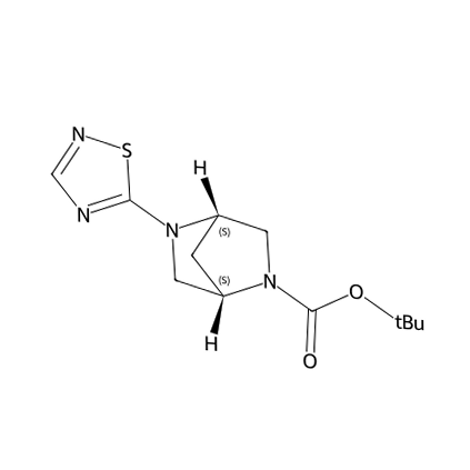 CC(C)(C)OC(=O)N1C[C@@H]2C[C@H]1CN2c1ncns1